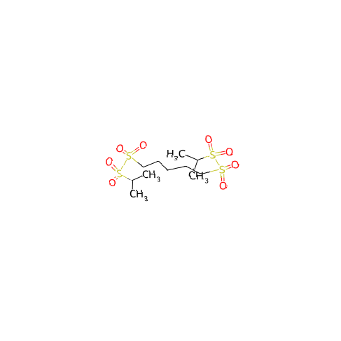 CC(C)S(=O)(=O)S(=O)(=O)CCCCCS(=O)(=O)S(=O)(=O)C(C)C